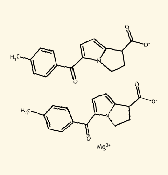 Cc1ccc(C(=O)c2ccc3n2CCC3C(=O)[O-])cc1.Cc1ccc(C(=O)c2ccc3n2CCC3C(=O)[O-])cc1.[Mg+2]